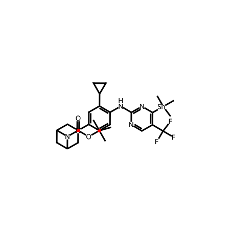 CC(C)(C)OC(=O)N1C2CC1CN(c1ccc(Nc3ncc(C(F)(F)F)[c]([Sn]([CH3])([CH3])[CH3])n3)c(C3CC3)c1)C2